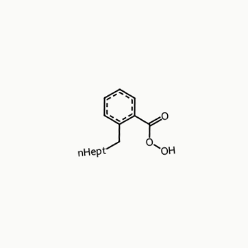 CCCCCCCCc1ccccc1C(=O)OO